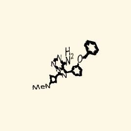 CNC1CC(c2nc(-c3cccc(OCc4ccccc4)c3)c3c(N)ncnn23)C1